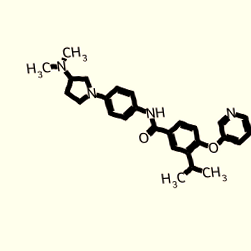 CC(C)c1cc(C(=O)Nc2ccc(N3CCC(N(C)C)C3)cc2)ccc1Oc1cccnc1